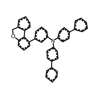 c1ccc(-c2ccc(N(c3ccc(-c4ccccc4)cc3)c3cccc(-c4cccc5c4-c4ccccc4CO5)c3)cc2)cc1